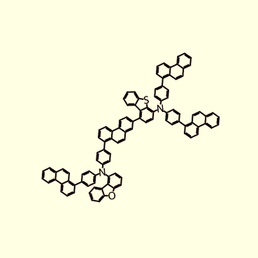 c1ccc2c(c1)ccc1c(-c3ccc(N(c4ccc(-c5cccc6c5ccc5ccccc56)cc4)c4ccc(-c5ccc6c(ccc7c(-c8ccc(N(c9ccc(-c%10cccc%11c%10ccc%10ccccc%10%11)cc9)c9cccc%10oc%11ccccc%11c9%10)cc8)cccc76)c5)c5c4sc4ccccc45)cc3)cccc12